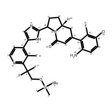 CC(C)(C)[Si](C)(C)OCC(F)(F)c1nccc(-c2cnc(C3CC[C@@H]4CC(c5c(N)ccc(Cl)c5F)=CC(=O)N34)[nH]2)c1F